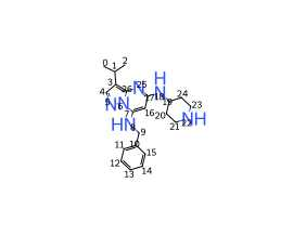 CC(C)c1cnn2c(NCc3ccccc3)cc(NC3CCNCC3)nc12